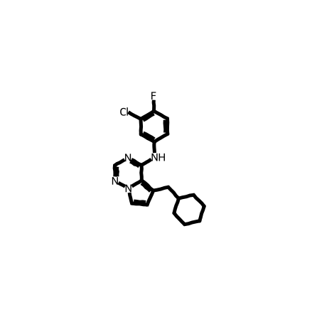 Fc1ccc(Nc2ncnn3ccc(CC4CCCCC4)c23)cc1Cl